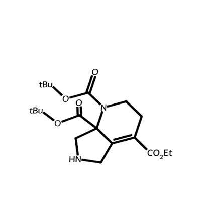 CCOC(=O)C1=C2CNCC2(C(=O)OC(C)(C)C)N(C(=O)OC(C)(C)C)CC1